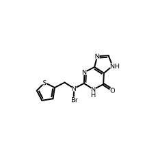 O=c1[nH]c(N(Br)Cc2cccs2)nc2nc[nH]c12